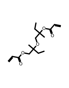 C=CC(=O)OCC(C)(CC)OCC(C)(CC)OC(=O)C=C